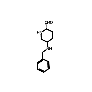 O=C[C@@H]1CC[C@@H](NCc2ccccc2)CN1